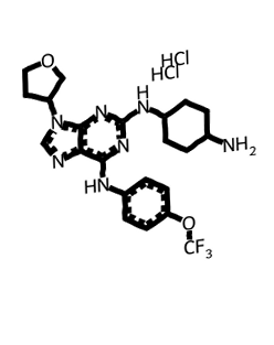 Cl.Cl.NC1CCC(Nc2nc(Nc3ccc(OC(F)(F)F)cc3)c3ncn(C4CCOC4)c3n2)CC1